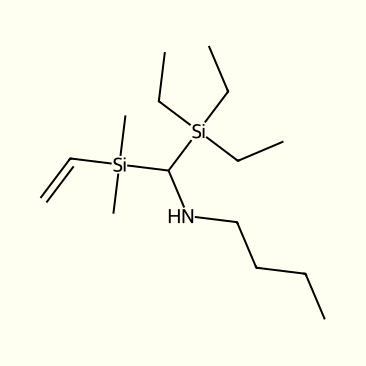 C=C[Si](C)(C)C(NCCCC)[Si](CC)(CC)CC